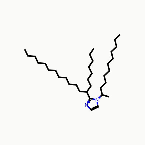 CCCCCCCCCCCCC(CCCCCCC)c1nccn1C(C)CCCCCCCCCC